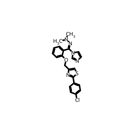 CN(C)/N=C(\c1ccccc1OCc1csc(-c2ccc(Cl)cc2)n1)n1ccnc1